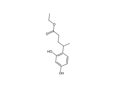 CCOC(=O)CCC(C)c1ccc(O)cc1O